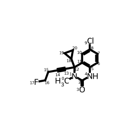 CN1C(=O)Nc2ccc(Cl)cc2C1(C#CCCF)C1CC1